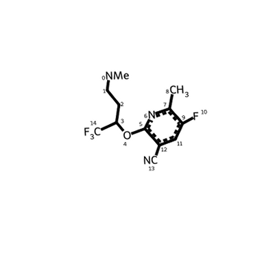 CNCCC(Oc1nc(C)c(F)cc1C#N)C(F)(F)F